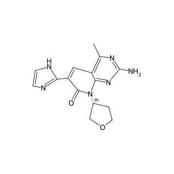 Cc1nc(N)nc2c1cc(-c1ncc[nH]1)c(=O)n2[C@@H]1CCOC1